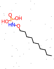 CCCCCCCCCCONP(=O)(O)O